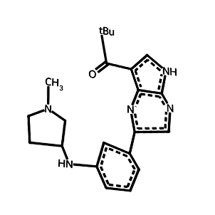 CN1CCC(Nc2cccc(-c3cnc4[nH]cc(C(=O)C(C)(C)C)c4n3)c2)C1